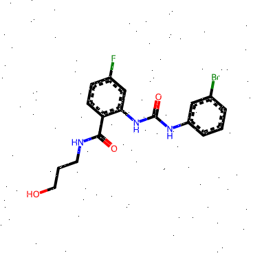 O=C(Nc1cccc(Br)c1)Nc1cc(F)ccc1C(=O)NCCCO